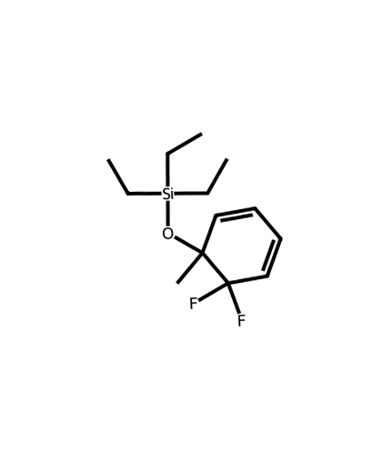 CC[Si](CC)(CC)OC1(C)C=CC=CC1(F)F